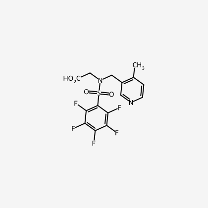 Cc1ccncc1CN(CC(=O)O)S(=O)(=O)c1c(F)c(F)c(F)c(F)c1F